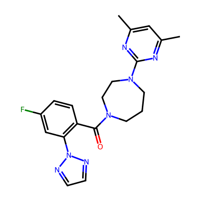 Cc1cc(C)nc(N2CCCN(C(=O)c3ccc(F)cc3-n3nccn3)CC2)n1